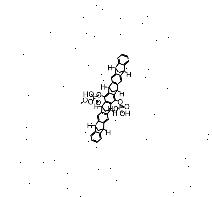 COOP(=O)(O)Oc1c2c(c(OP(=O)(O)O)c3c1[C@H]1C[C@@H]3c3cc4c(cc31)[C@H]1C[C@@H]4c3ccccc31)[C@H]1C[C@@H]2c2cc3c(cc21)[C@H]1C[C@@H]3c2ccccc21